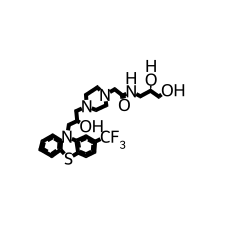 O=C(CN1CCN(CC(O)CN2c3ccccc3Sc3ccc(C(F)(F)F)cc32)CC1)NC[C@H](O)CO